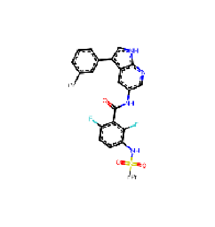 CCCS(=O)(=O)Nc1ccc(F)c(C(=O)Nc2cnc3[nH]cc(-c4cccc(C(C)C)c4)c3c2)c1F